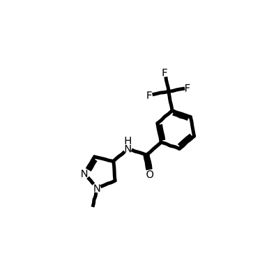 CN1CC(NC(=O)c2cccc(C(F)(F)F)c2)C=N1